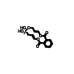 O=C(O)CC=COC(=O)c1ccccc1C(=O)OC=CCC(=O)O